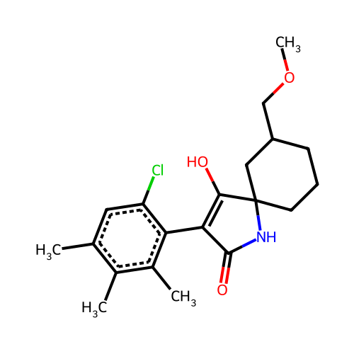 COCC1CCCC2(C1)NC(=O)C(c1c(Cl)cc(C)c(C)c1C)=C2O